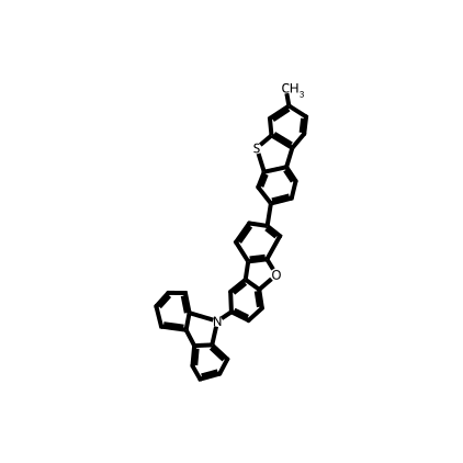 Cc1ccc2c(c1)sc1cc(-c3ccc4c(c3)oc3ccc(-n5c6ccccc6c6ccccc65)cc34)ccc12